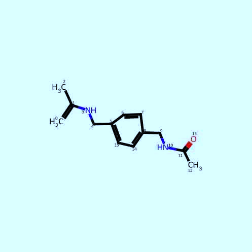 C=C(C)NCc1ccc(CNC(C)=O)cc1